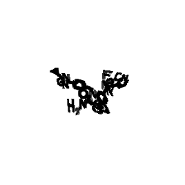 N[C@H]1CS(=O)(=O)c2ccc(-c3noc(-c4cccnc4C(F)(F)F)n3)cc2N(Cc2ccc(-c3noc(C4CC4)n3)cc2)C1=O